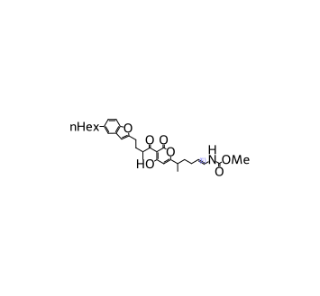 CCCCCCc1ccc2oc(CCC(C)C(=O)c3c(O)cc(C(C)CC/C=C/NC(=O)OC)oc3=O)cc2c1